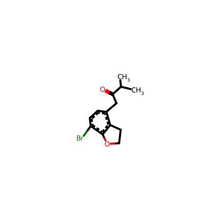 CC(C)C(=O)Cc1ccc(Br)c2c1CCO2